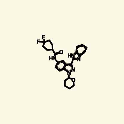 O=C(Nc1ccc2c(c1)c(-c1nc3ccccc3[nH]1)nn2C1CCCCO1)C1CCC(F)(F)CC1